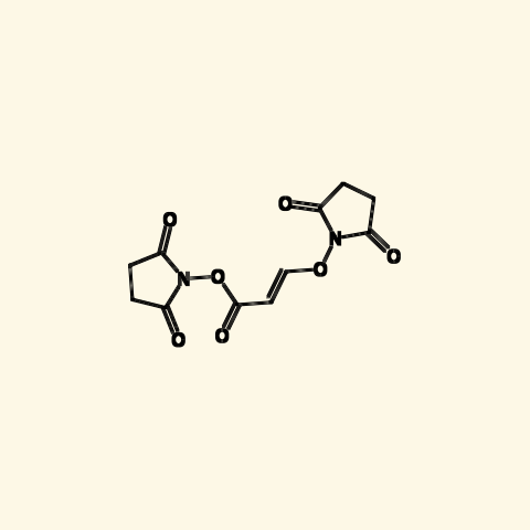 O=C(/C=C/ON1C(=O)CCC1=O)ON1C(=O)CCC1=O